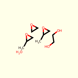 C1CO1.CC1CO1.CC1CO1.O.OCCO